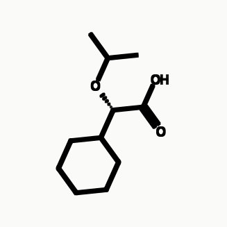 CC(C)O[C@H](C(=O)O)C1CCCCC1